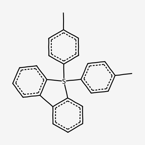 Cc1ccc(S2(c3ccc(C)cc3)c3ccccc3-c3ccccc32)cc1